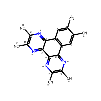 N#Cc1cc2c(cc1C#N)c1nc(C#N)c(C#N)nc1c1nc(C#N)c(C#N)nc21